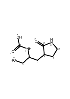 O=C(O)NC(CO)CC1CCNC1=O